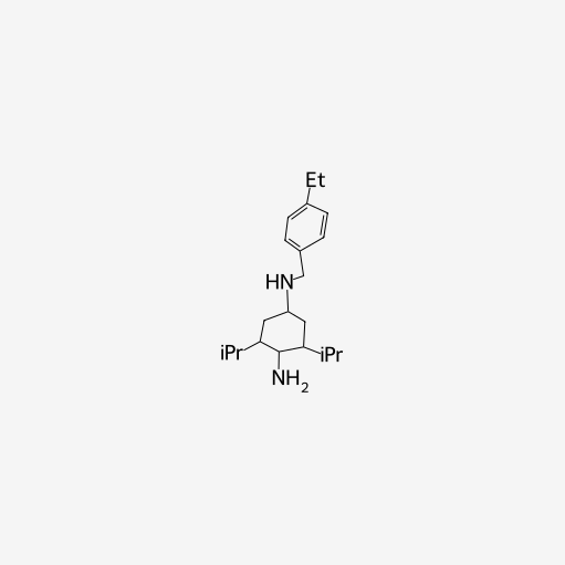 CCc1ccc(CNC2CC(C(C)C)C(N)C(C(C)C)C2)cc1